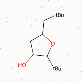 CC(C)(C)CC1CC(O)C(C(C)(C)C)O1